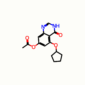 CC(=O)Oc1cc(OC2CCCC2)c2c(=O)[nH]cnc2c1